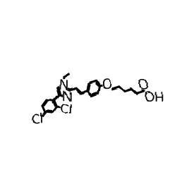 CCn1cc(-c2ccc(Cl)cc2Cl)nc1C=Cc1ccc(OCCCCCC(=O)O)cc1